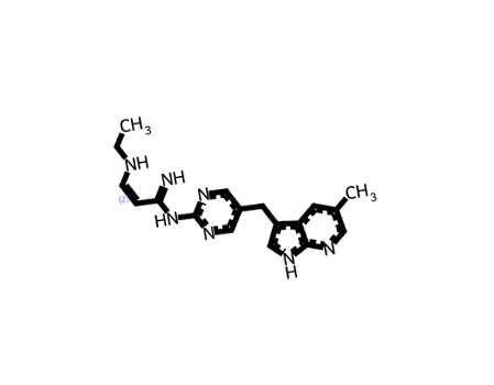 CCN/C=C\C(=N)Nc1ncc(Cc2c[nH]c3ncc(C)cc23)cn1